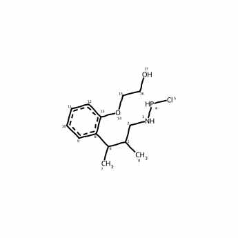 CC(CNPCl)C(C)c1ccccc1OCCO